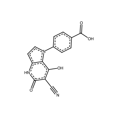 N#Cc1c(O)c2c(ccn2-c2ccc(C(=O)O)cc2)[nH]c1=O